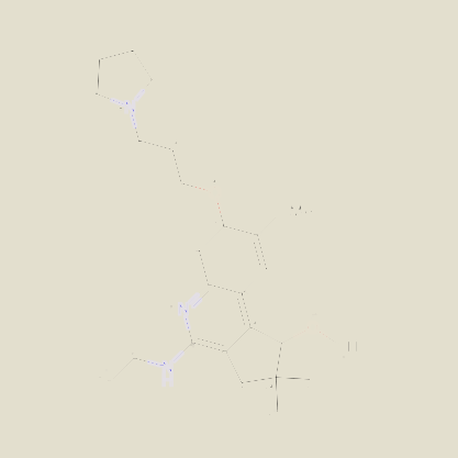 COc1cc2c3c(c(NCC(C)C)nc2cc1OCCCN1CCCC1)CC(C)(C)C3OC=O